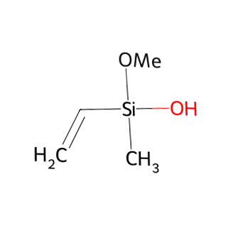 C=C[Si](C)(O)OC